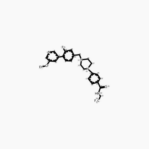 CCOc1cncc(-c2ccc(CN3CCN(c4ccc(C(=O)NCC(F)(F)F)cc4)CC3)cc2F)c1